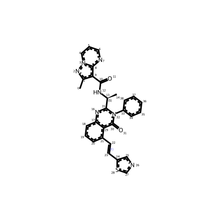 Cc1nn2cccnc2c1C(=O)N[C@@H](C)c1nc2cccc(/C=C/c3cncs3)c2c(=O)n1-c1ccccc1